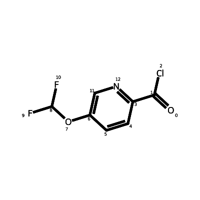 O=C(Cl)c1ccc(OC(F)F)cn1